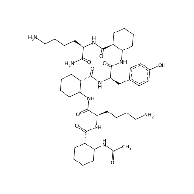 CC(=O)NC1CCCC[C@@H]1C(=O)N[C@H](CCCCN)C(=O)NC1CCCC[C@@H]1C(=O)N[C@H](Cc1ccc(O)cc1)C(=O)NC1CCCC[C@@H]1C(=O)N[C@H](CCCCN)C(N)=O